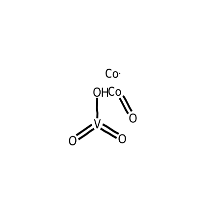 [Co].[O]=[Co].[O]=[V](=[O])[OH]